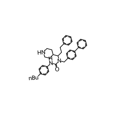 CCCCc1ccc(NC(=O)N(Cc2ccc(-c3ccccc3)cc2)C(CCc2ccccc2)C2CCNCC2)cc1